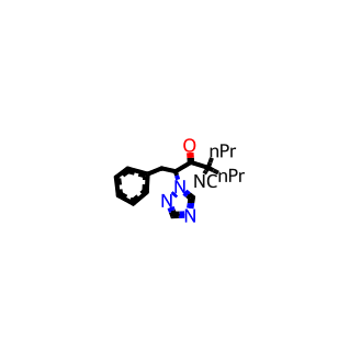 CCCC(C#N)(CCC)C(=O)C(Cc1ccccc1)n1cncn1